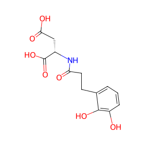 O=C(O)C[C@H](NC(=O)CCc1cccc(O)c1O)C(=O)O